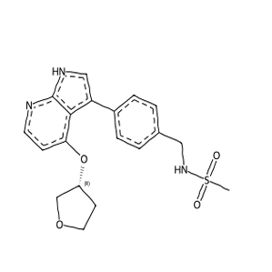 CS(=O)(=O)NCc1ccc(-c2c[nH]c3nccc(O[C@@H]4CCOC4)c23)cc1